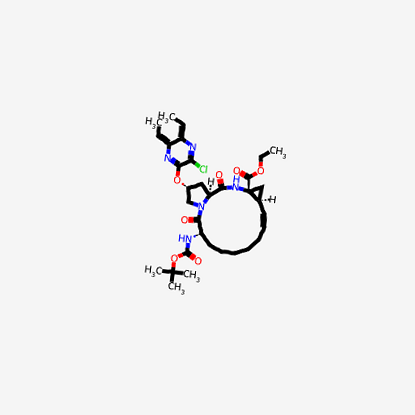 C/C=c1/nc(Cl)c(O[C@@H]2C[C@H]3C(=O)N[C@]4(C(=O)OCC)C[C@H]4/C=C\CCCCC[C@H](NC(=O)OC(C)(C)C)C(=O)N3C2)n/c1=C/C